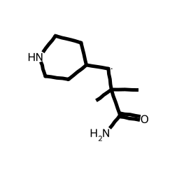 CC(C)([CH]C1CCNCC1)C(N)=O